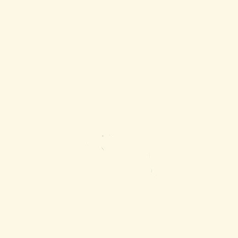 C=C(C)C(=O)OCCC=C(C)C(=O)OCCCCCCCC